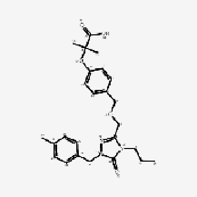 CCCn1c(COCc2ccc(OC(C)(C)C(=O)O)cc2)nn(Cc2ccc(C)cc2)c1=O